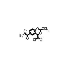 CCN(CC)C(=O)c1ccc2c(c1)C(=C(Cl)Cl)OC(C(Cl)(Cl)Cl)O2